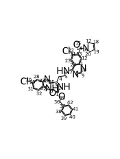 O=C(NC(CCNc1ncnc2cc(C(=O)N3CC=CC3)c(Cl)cc12)c1nc2cc(Cl)ccc2[nH]1)OCc1ccccc1